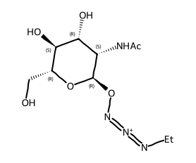 CCN=[N+]=NO[C@H]1O[C@H](CO)[C@@H](O)[C@H](O)[C@@H]1NC(C)=O